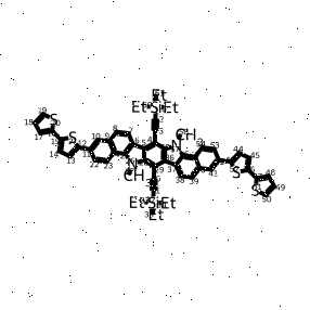 CC[Si](C#Cc1c2c3ccc4cc(-c5ccc(-c6cccs6)s5)ccc4c3n(C)c2c(C#C[Si](CC)(CC)CC)c2c3ccc4cc(-c5ccc(-c6cccs6)s5)ccc4c3n(C)c12)(CC)CC